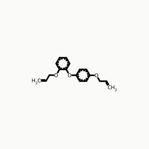 C=CCOc1ccc(Oc2ccccc2OCC=C)cc1